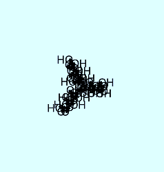 CC1OC(CO)C(O)C(OC2OC(CO)C(O)C(OC3OC(CO)C(O)C(OC4OC(COC5OC(CO)C(O)C(OC6OC(CO)C(O)C(OC(C=O)OC(C=O)CO)C6O)[C@@H]5O)C(O)C(OC5OC(CO)C(O)C(OC(OC(C=O)CO)C(O)C=O)C5O)C4O)C3O)C2O)C1O